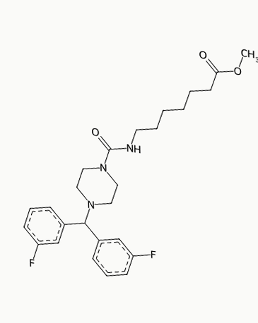 COC(=O)CCCCCCNC(=O)N1CCN(C(c2cccc(F)c2)c2cccc(F)c2)CC1